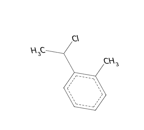 Cc1ccccc1C(C)Cl